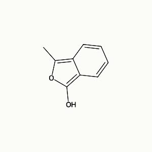 Cc1oc(O)c2ccccc12